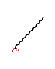 CCCCC=CC=CCCCCCCCC=CC(=O)OC